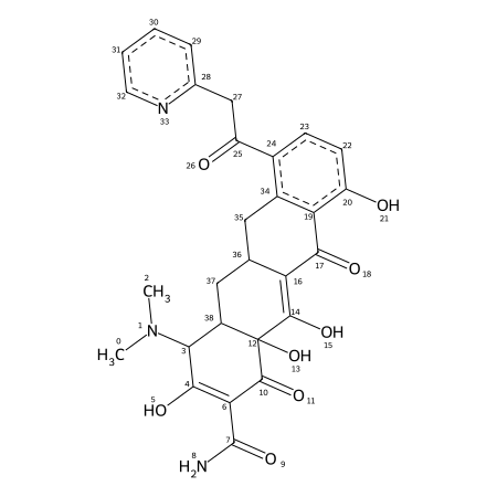 CN(C)C1C(O)=C(C(N)=O)C(=O)C2(O)C(O)=C3C(=O)c4c(O)ccc(C(=O)Cc5ccccn5)c4CC3CC12